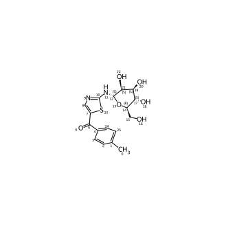 Cc1ccc(C(=O)c2cnc(N[C@H]3O[C@H](CO)[C@@H](O)[C@H](O)[C@@H]3O)s2)cc1